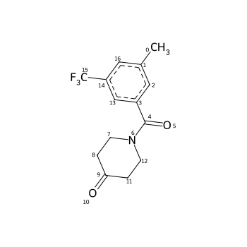 Cc1cc(C(=O)N2CCC(=O)CC2)cc(C(F)(F)F)c1